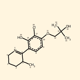 CC1CCCN=C1c1ccc(OCC(C)(C)O)c(Cl)c1O